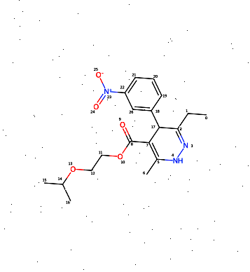 CCC1=NNC(C)=C(C(=O)OCCOC(C)C)C1c1cccc([N+](=O)[O-])c1